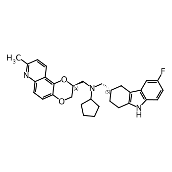 Cc1ccc2c3c(ccc2n1)OC[C@H](CN(C[C@H]1CCc2[nH]c4ccc(F)cc4c2C1)C1CCCC1)O3